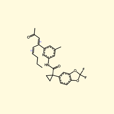 CCC/C=C\C(=C/C(C)=O)c1cc(C)cc(NC(=O)C2(c3ccc4c(c3)OC(F)(F)O4)CC2)n1